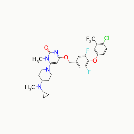 CN(C1CC1)C1CCN(c2cc(OCc3cc(F)c(Oc4ccc(Cl)c(C(F)(F)F)c4)c(F)c3)nc(=O)n2C)CC1